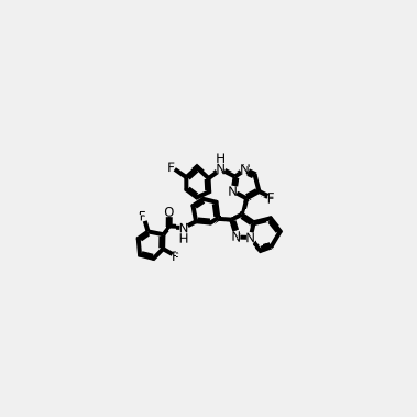 O=C(Nc1cccc(-c2nn3ccccc3c2-c2nc(Nc3cccc(F)c3)ncc2F)c1)c1c(F)cccc1F